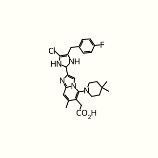 Cc1cc2nc(C3NC(Cl)=C(Cc4ccc(F)cc4)N3)cn2c(N2CCC(C)(C)CC2)c1CC(=O)O